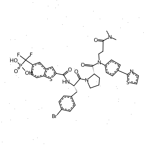 CN(C)C(=O)CCN(C(=O)[C@@H]1CCCN1C(=O)[C@H](Cc1ccc(Br)cc1)NC(=O)c1cc2cc(C(F)(F)P(=O)(O)O)ccc2s1)c1ccc(-c2nccs2)cc1